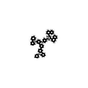 c1ccc(-n2c3ccccc3c3cc(-c4ccc5c(c4)c4cc(-n6c7ccccc7c7ccccc76)ccc4n5-c4ccc(-c5nc(-c6cccc7ccccc67)cc(-c6cccc7ccccc67)n5)cc4)ccc32)cc1